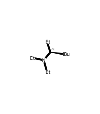 CCC(C)[C@H](CC)N(CC)CC